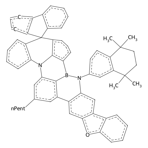 CCCCCc1cc2c3c(c1)N1c4ccccc4C4(c5ccccc5-c5ccccc54)c4cccc(c41)B3N(c1ccc3c(c1)C(C)(C)CCC3(C)C)c1cc3c(cc1-2)oc1ccccc13